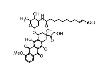 CCCCCCCC/C=C/CCCCCCCC(=O)N[C@H]1C[C@H](OC2C[C@](O)(C(=O)CO)Cc3c(O)c4c(c(O)c32)C(=O)c2c(OC)cccc2C4=O)O[C@@H](C)[C@H]1O